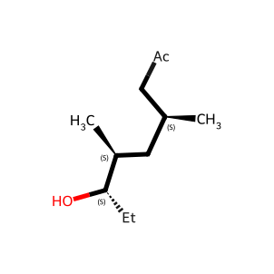 CC[C@H](O)[C@@H](C)C[C@H](C)CC(C)=O